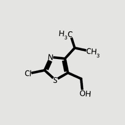 CC(C)c1nc(Cl)sc1CO